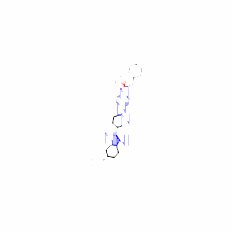 O=C(CC1CCCCC1)N1CCN(c2ccc(-c3nc4cc(Cl)ccc4[nH]3)cn2)CC1